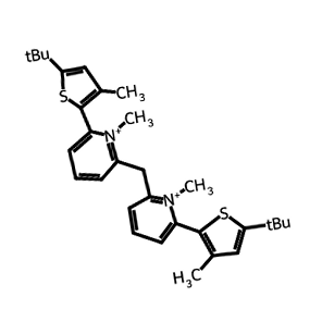 Cc1cc(C(C)(C)C)sc1-c1cccc(Cc2cccc(-c3sc(C(C)(C)C)cc3C)[n+]2C)[n+]1C